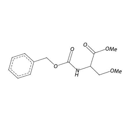 COCC(NC(=O)OCc1ccccc1)C(=O)OC